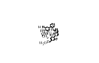 CCOCc1cc(F)c(-c2ccc3cnc(Nc4cnccc4C4C[C@@H](N)[C@@H](NC(=O)OC)[C@@H](C)C4)n3n2)c(F)c1